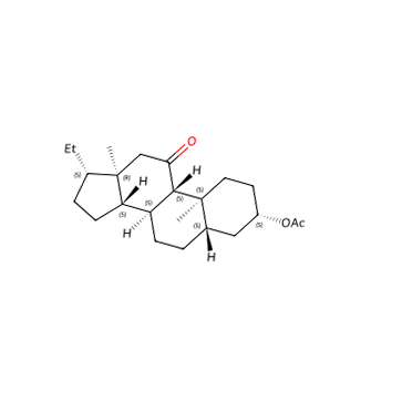 CC[C@H]1CC[C@H]2[C@@H]3CC[C@H]4C[C@@H](OC(C)=O)CC[C@]4(C)[C@H]3C(=O)C[C@]12C